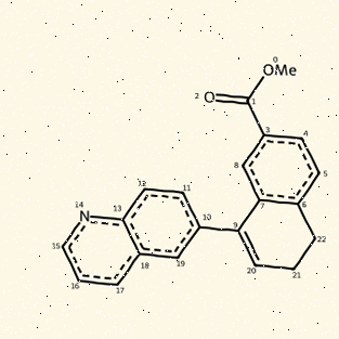 COC(=O)c1ccc2c(c1)C(c1ccc3ncccc3c1)=CCC2